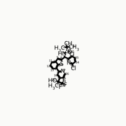 CC(C)(C)[S+]([O-])NC(c1cc2cccc(-c3cc(C(C)(O)C(F)(F)F)ccn3)c2s1)c1nc(Cl)ccc1Cl